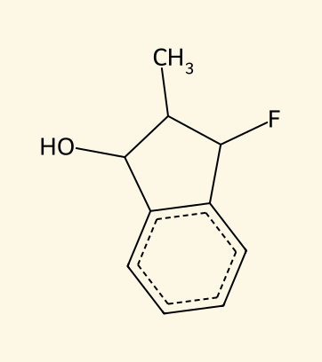 CC1C(O)c2ccccc2C1F